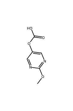 COc1ncc(OC(=O)O)cn1